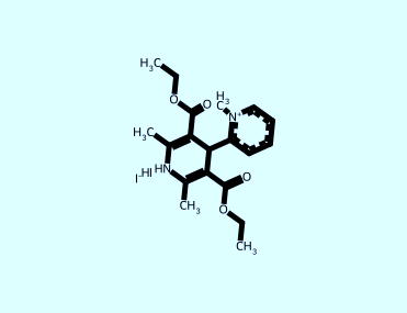 CCOC(=O)C1=C(C)NC(C)=C(C(=O)OCC)C1c1cccc[n+]1C.I.[I-]